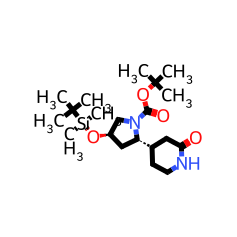 CC(C)(C)OC(=O)N1C[C@H](O[Si](C)(C)C(C)(C)C)C[C@H]1C1CCNC(=O)C1